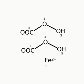 O=C([O-])OO.O=C([O-])OO.[Fe+2]